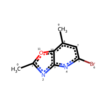 Cc1nc2nc(Br)cc(C)c2o1